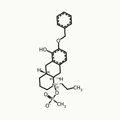 CCC[N@+]1(OP(C)(=O)[O-])CCC[C@@H]2Cc3c(ccc(OCc4ccccc4)c3O)C[C@H]21